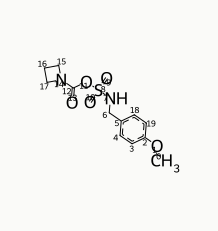 COc1ccc(CNS(=O)(=O)OC(=O)N2CCC2)cc1